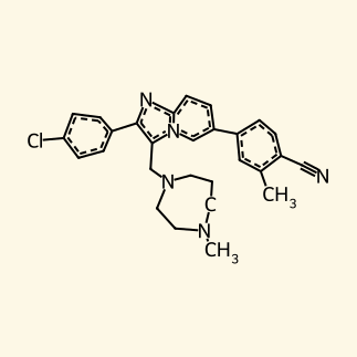 Cc1cc(-c2ccc3nc(-c4ccc(Cl)cc4)c(CN4CCCN(C)CC4)n3c2)ccc1C#N